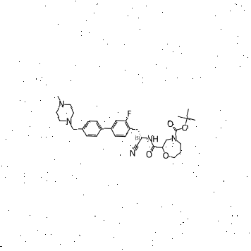 CN1CCN(Cc2ccc(-c3ccc(C[C@@H](C#N)NC(=O)C4CN(C(=O)OC(C)(C)C)CCCO4)c(F)c3)cc2)CC1